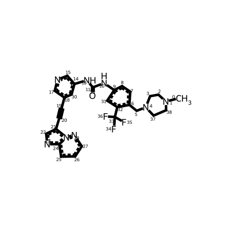 CN1CCN(Cc2ccc(NC(=O)Nc3cncc(C#Cc4cnc5cccnn45)c3)cc2C(F)(F)F)CC1